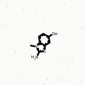 C[n+]1c(N)sc2cc(O)ccc21